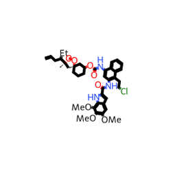 C=CCC(CC)[C@]1(C)C[C@]2(CCCC(OC(=O)Nc3cc(NC(=O)c4cc5cc(OC)c(OC)c(OC)c5[nH]4)c(CCCl)c4ccccc34)C2)OO1